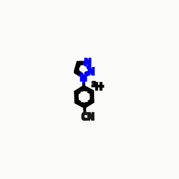 N#Cc1ccc(-n2ccnn2)cc1.[2H]